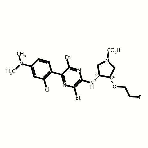 CCc1nc(-c2ccc(N(C)C)cc2Cl)c(CC)nc1N[C@@H]1CN(C(=O)O)C[C@@H]1OCCF